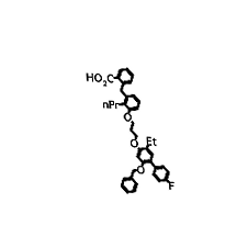 CCCc1c(Cc2ccccc2C(=O)O)cccc1OCCCOc1cc(OCc2ccccc2)c(-c2ccc(F)cc2)cc1CC